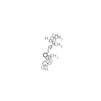 CN(C(=O)OC(C)(C)C)C1CN(CCc2cccc3c2n(C)c(=O)n3C2CCC(=O)NC2=O)C1